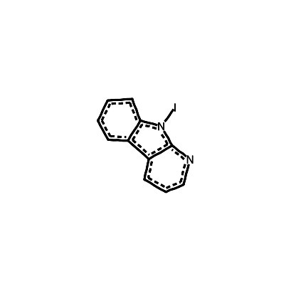 In1c2ccccc2c2cccnc21